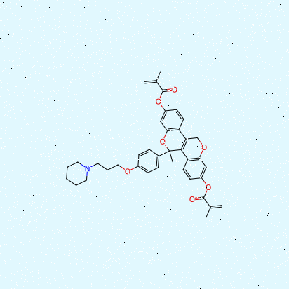 C=C(C)C(=O)Oc1ccc2c(c1)OC(C)(c1ccc(OCCCN3CCCCC3)cc1)C1=C2COc2cc(OC(=O)C(=C)C)ccc21